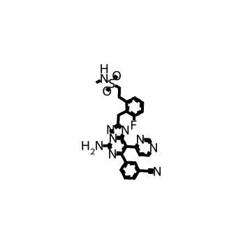 CNS(=O)(=O)CCc1cccc(F)c1Cc1nc2c(-c3ccncn3)c(-c3cccc(C#N)c3)nc(N)n2n1